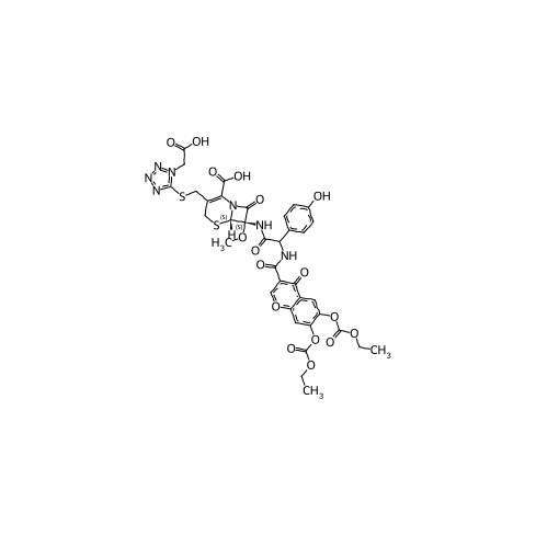 CCOC(=O)Oc1cc2occ(C(=O)NC(C(=O)N[C@]3(OC)C(=O)N4C(C(=O)O)=C(CSc5nnnn5CC(=O)O)CS[C@H]43)c3ccc(O)cc3)c(=O)c2cc1OC(=O)OCC